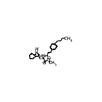 CCCCc1ccc(C=CC(=O)N[C@@H](Cc2c[nH]c3ccccc23)C(=O)OC)cc1